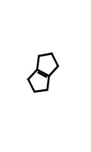 [CH]1CCC2=C1CCC2